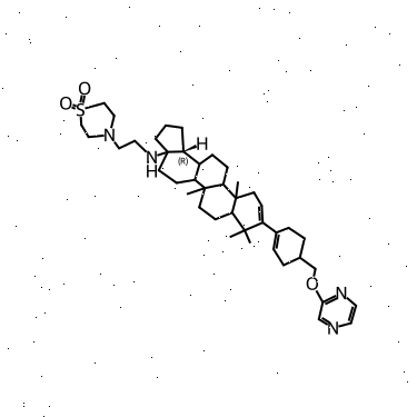 CC1(C)C(C2=CCC(COc3cnccn3)CC2)=CCC2(C)C1CCC1(C)C3CCC4(NCCN5CCS(=O)(=O)CC5)CCC[C@@H]4C3CCC12